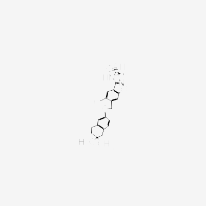 CC1(C)CCc2cc(OCc3cc4onc(NS(C)(=O)=O)c4cc3Cl)ccc2C1